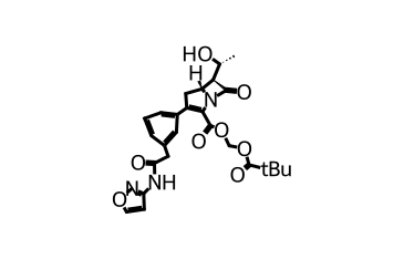 C[C@@H](O)[C@H]1C(=O)N2C(C(=O)OCOC(=O)C(C)(C)C)=C(c3cccc(CC(=O)Nc4ccon4)c3)C[C@H]12